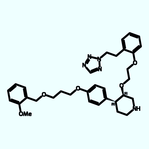 COc1ccccc1COCCCOc1ccc([C@H]2CCNC[C@@H]2OCCOc2ccccc2CCn2ncnn2)cc1